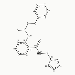 CC(CCc1ccccc1)Sc1ncccc1C(=O)NCc1cccs1